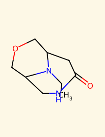 CCN1C2CNC(=O)CC1COC2